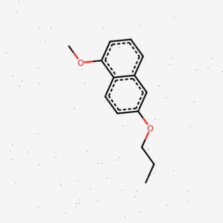 CCCOc1ccc2c(OC)cccc2c1